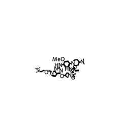 C=CC(=O)Nc1cc(Nc2nc(OC3CN(S(C)(=O)=O)C3)c3ccn(COCC[Si](C)(C)C)c3n2)c(OC)cc1N1CCC(N(C)C)CC1